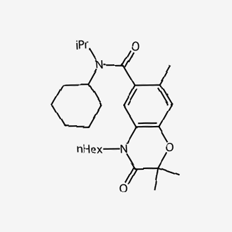 CCCCCCN1C(=O)C(C)(C)Oc2cc(C)c(C(=O)N(C(C)C)C3CCCCC3)cc21